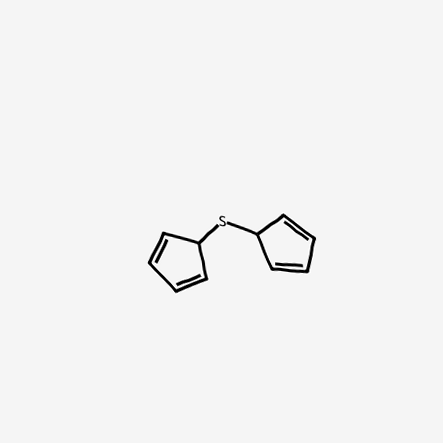 C1=CC(SC2C=CC=C2)C=C1